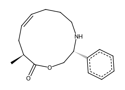 C[C@H]1CC=CCCCN[C@H](c2ccccc2)COC1=O